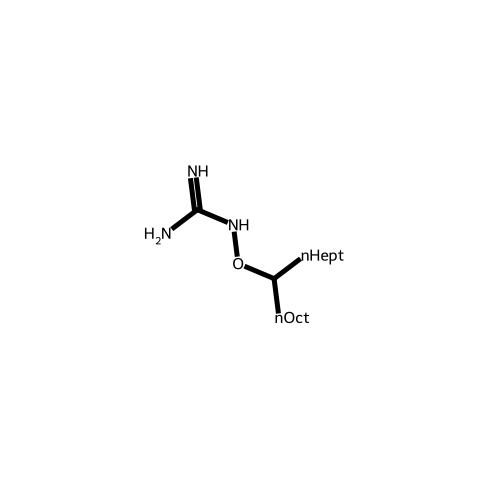 CCCCCCCCC(CCCCCCC)ONC(=N)N